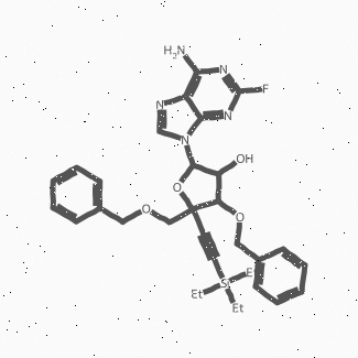 CC[Si](C#CC1(COCc2ccccc2)OC(n2cnc3c(N)nc(F)nc32)C(O)C1OCc1ccccc1)(CC)CC